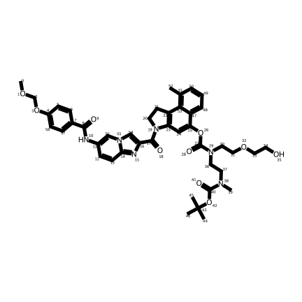 COCOc1ccc(C(=O)Nc2ccc3nc(C(=O)N4CCc5c4cc(OC(=O)N(CCOCCO)CCN(C)C(=O)OC(C)(C)C)c4cccc(C)c54)cn3c2)cc1